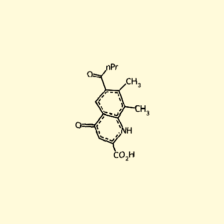 CCCC(=O)c1cc2c(=O)cc(C(=O)O)[nH]c2c(C)c1C